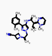 C=C/C(C(=C)Nc1cn(CC(=C)N2CC(C#N)C2)nc1-c1cc(C)ccc1C)=C1/N=CC=CN1C